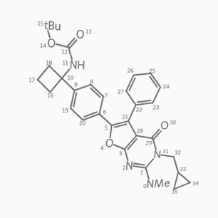 CNc1nc2oc(-c3ccc(C4(NC(=O)OC(C)(C)C)CCC4)cc3)c(-c3ccccc3)c2c(=O)n1CC1CC1